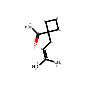 CCCCC(=O)C1(CC=C(C)C)CCC1